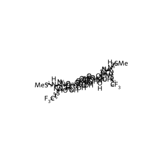 CSCCNc1nc(SCCC(F)(F)F)nc2c1ncn2[C@@H]1O[C@H](COP(=O)(O)OP(=O)(O)C(Cl)(Cl)P(=O)(O)OP(=O)(O)OC[C@H]2O[C@@H](n3cnc4c(NCCSC)nc(SCCC(F)(F)F)nc43)[C@H](O)[C@@H]2O)[C@@H](O)[C@H]1O